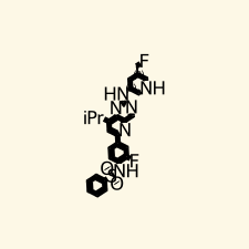 CC(C)c1cc(-c2ccc(NS(=O)(=O)c3ccccc3)c(F)c2)nc2cnc(N[C@@H]3CNC[C@H](CF)C3)nc12